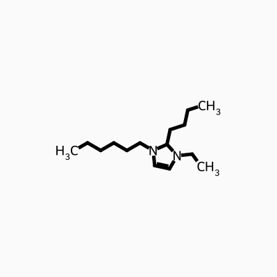 CCCCCCN1C=CN(CC)C1CCCC